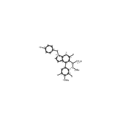 COc1c(C)cc(-c2c(C(OC(C)(C)C)C(=O)O)c(C)nc3c2ccn3Cc2ccc(F)cc2)cc1C